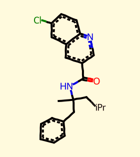 CC(C)CC(C)(Cc1ccccc1)NC(=O)c1cnc2ccc(Cl)cc2c1